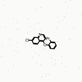 CC(C)c1ccccc1Oc1ccnc2cc(Cl)ccc12